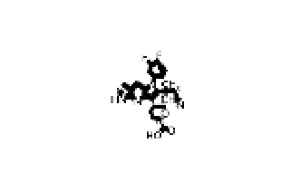 CC(C)(CC#N)c1c([C@H]2CC[C@H](C(=O)O)OC2)c2nc3[nH]ncc3cc2n1-c1ccc(F)c(F)c1